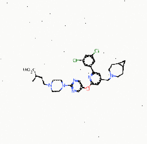 CC(CCN1CCN(c2ncc(Oc3cc(CN4CCC5CC5CC4)cc(-c4cc(Cl)cc(Cl)c4)n3)cn2)CC1)C(=O)O